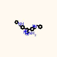 Nc1ncnn2c(-c3ccc(CNC4CCCC4)cc3)cc(-c3ccc4cn(Cc5ccccc5)nc4c3)c12